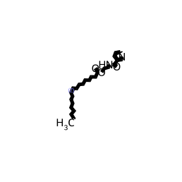 CCCCCCCC/C=C\CCCCCCCC(=O)OCCNC(=O)c1cccnc1